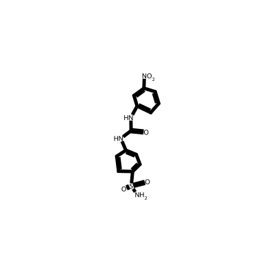 NS(=O)(=O)c1ccc(NC(=O)Nc2cccc([N+](=O)[O-])c2)cc1